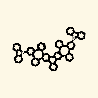 c1ccc2c(c1)c1ccc(-n3c4ccccc4c4ccccc43)cc1c1ccccc1c1cc3c4ccccc4c4cc5c6ccccc6c6ccc(-n7c8ccccc8c8ccccc87)cc6c6ccccc6c5cc4c3cc21